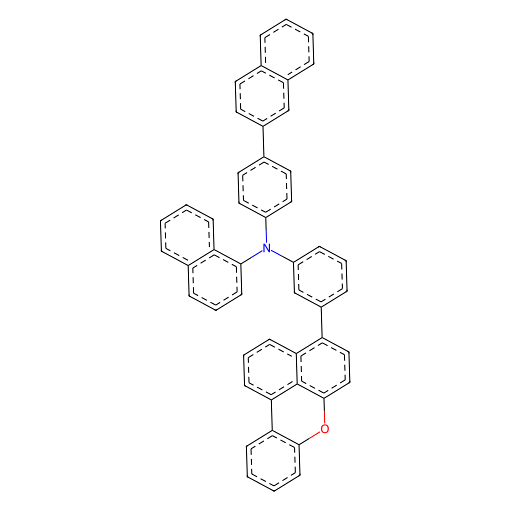 c1cc(-c2ccc3c4c(cccc24)-c2ccccc2O3)cc(N(c2ccc(-c3ccc4ccccc4c3)cc2)c2cccc3ccccc23)c1